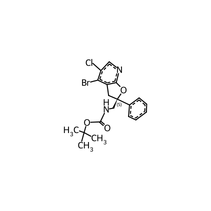 CC(C)(C)OC(=O)NC[C@@]1(c2ccccc2)Cc2c(ncc(Cl)c2Br)O1